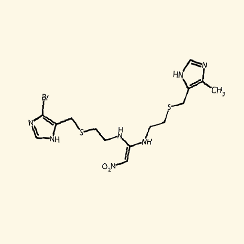 Cc1nc[nH]c1CSCCNC(=C[N+](=O)[O-])NCCSCc1[nH]cnc1Br